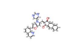 O=C1C(=Cc2cc3oc(-c4cccc5cccnc45)cc3n2-c2cncnc2)C(=O)c2cc3ccccc3cc21